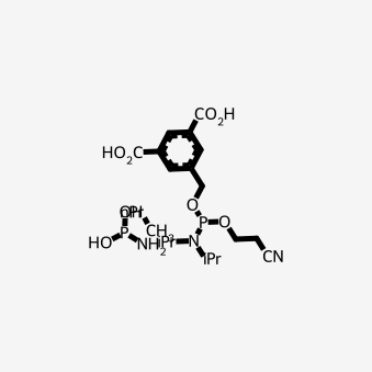 CC(C)N(C(C)C)P(OCCC#N)OCc1cc(C(=O)O)cc(C(=O)O)c1.CCCC.NP(O)O